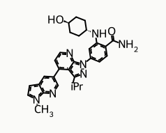 CC(C)c1nn(-c2ccc(C(N)=O)c(N[C@H]3CC[C@H](O)CC3)c2)c2nccc(-c3cnc4c(ccn4C)c3)c12